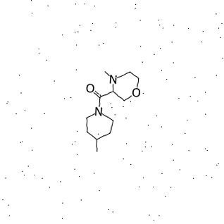 CC1CCN(C(=O)C2COCCN2C)CC1